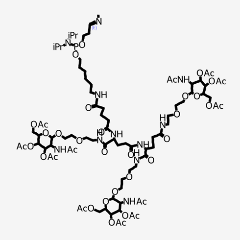 C/N=C/CCOP(OCCCCCCNC(=O)CCCC(=O)NC(CCC(=O)NC(CCC(=O)NCCOCCOC1OC(COC(C)=O)C(OC(C)=O)C(OC(C)=O)C1NC(C)=O)C(=O)NCCOCCOC1OC(COC(C)=O)C(OC(C)=O)C(OC(C)=O)C1NC(C)=O)C(=O)NCCOCCOC1OC(COC(C)=O)C(OC(C)=O)C(OC(C)=O)C1NC(C)=O)N(C(C)C)C(C)C